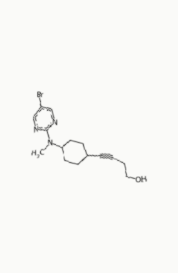 CN(c1ncc(Br)cn1)C1CCC(C#CCCO)CC1